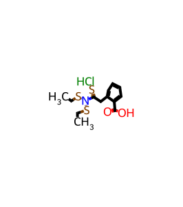 CCSN(SCC)C(=S)Cc1ccccc1C(=O)O.Cl